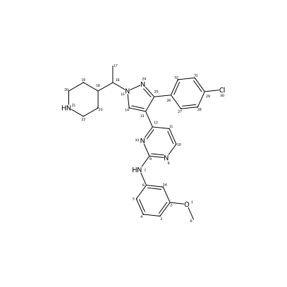 COc1cccc(Nc2nccc(-c3cn(C(C)C4CCNCC4)nc3-c3ccc(Cl)cc3)n2)c1